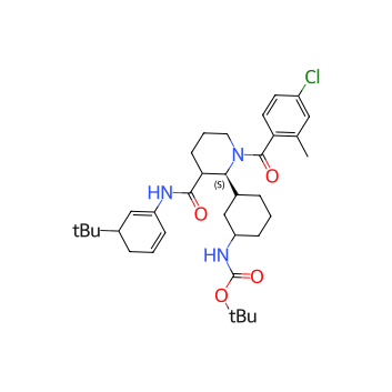 Cc1cc(Cl)ccc1C(=O)N1CCCC(C(=O)NC2=CC(C(C)(C)C)CC=C2)[C@@H]1C1CCCC(NC(=O)OC(C)(C)C)C1